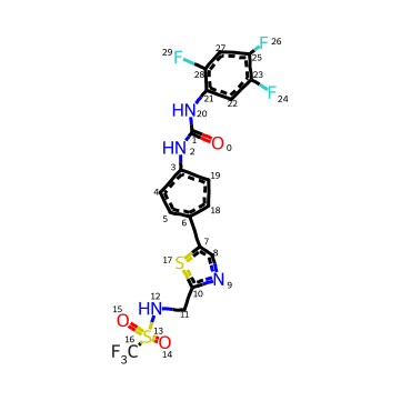 O=C(Nc1ccc(-c2cnc(CNS(=O)(=O)C(F)(F)F)s2)cc1)Nc1cc(F)c(F)cc1F